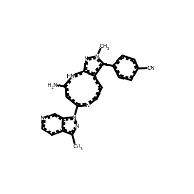 Cc1nn(-c2cc(N)[nH]c3nn(C)c(-c4ccc(C#N)cc4)c3ccn2)c2cnccc12